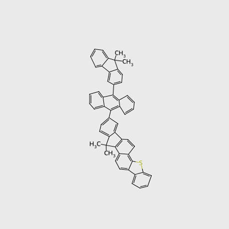 CC1(C)c2ccccc2-c2cc(-c3c4ccccc4c(-c4ccc5c(c4)-c4ccc6c(ccc7c8ccccc8sc67)c4C5(C)C)c4ccccc34)ccc21